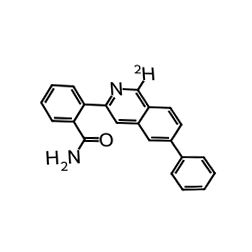 [2H]c1nc(-c2ccccc2C(N)=O)cc2cc(-c3ccccc3)ccc12